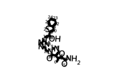 Cc1c(C(N)=O)oc2ncn(Cc3nnn(C[C@H](O)c4cc5ccccc5s4)n3)c(=O)c12